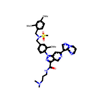 COc1ccc(CN(Cc2ccc(-n3nc(C(=O)NCCCN(C)C)c4cnc(-c5cnn6cccnc56)cc43)c(OC)c2)S(C)(=O)=O)c(OC)c1